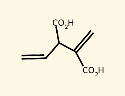 C=CC(C(=C)C(=O)O)C(=O)O